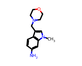 Cn1cc(CN2CCOCC2)c2ccc(N)cc21